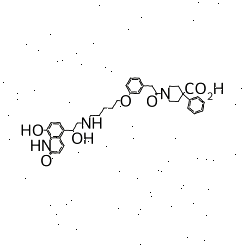 O=C(Cc1cccc(OCCCCCNCC(O)c2ccc(O)c3[nH]c(=O)ccc23)c1)N1CCC(C(=O)O)(c2ccccc2)CC1